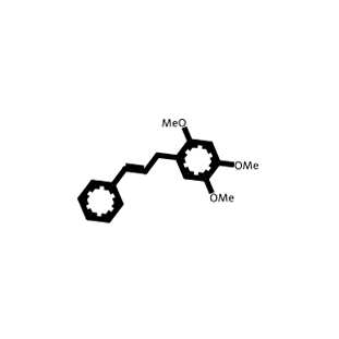 COc1cc(OC)c(OC)cc1CC=Cc1ccccc1